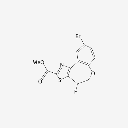 COC(=O)c1nc2c(s1)C(F)COc1ccc(Br)cc1-2